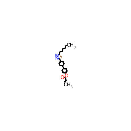 CC=CC(=O)Oc1ccc(-c2ccc(-c3nnc(CCCCCC)s3)cc2)cc1